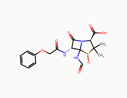 CC1(C)[C@H](C(=O)O)N2C(=O)[C@@H](NC(=O)COc3ccccc3)C2(NC=O)[S+]1[O-]